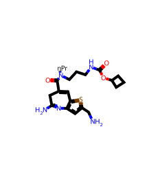 CCCN(CCCNC(=O)OC1CCC1)C(=O)C1=Cc2sc(CN)cc2N=C(N)C1